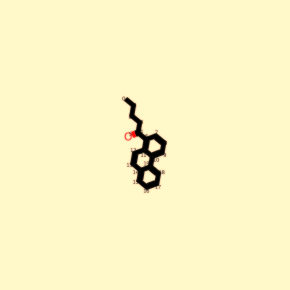 CCCCC(=O)c1cccc2c1ccc1ccccc12